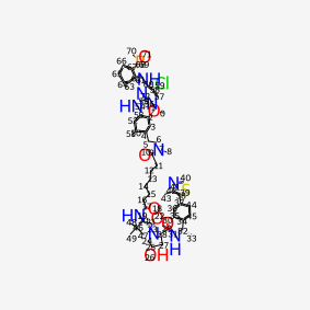 COc1cc(CCN(C)C(=O)CCCCCCC(=O)N[C@H](C(=O)N2C[C@H](O)C[C@@H]2C(=O)N[C@@H](C)c2ccc(-c3scnc3C)cc2)C(C)(C)C)c(C)cc1Nc1ncc(Cl)c(Nc2ccccc2P(C)(C)=O)n1